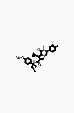 COc1ccc(C2(NC(=O)c3cn4cc(-c5ccc(C)c(F)c5)[nH]c(=O)c4c3C3CC3)CN(C)C2)cc1